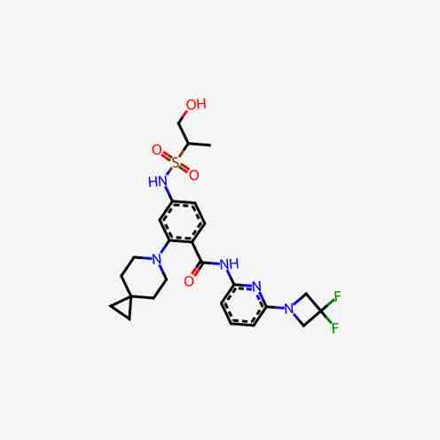 CC(CO)S(=O)(=O)Nc1ccc(C(=O)Nc2cccc(N3CC(F)(F)C3)n2)c(N2CCC3(CC2)CC3)c1